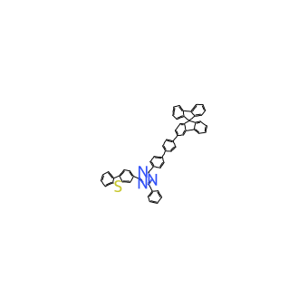 c1ccc(-c2nc(-c3ccc(-c4ccc(-c5ccc6c(c5)-c5ccccc5C65c6ccccc6-c6ccccc65)cc4)cc3)nc(-c3ccc4c(c3)sc3ccccc34)n2)cc1